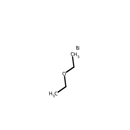 CCOCC.[B]